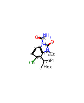 CCCCCCC(CCC)c1c(Cl)ccc2c1n(CC)c(=O)n2C(N)=O